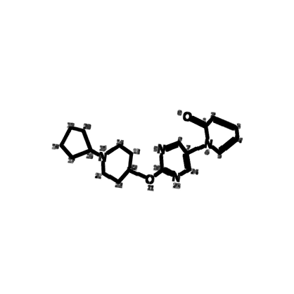 O=c1ccccn1-c1cnc(OC2CCN(C3CCCC3)CC2)nc1